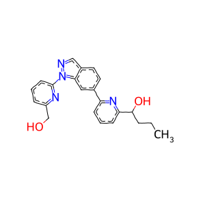 CCCC(O)c1cccc(-c2ccc3cnn(-c4cccc(CO)n4)c3c2)n1